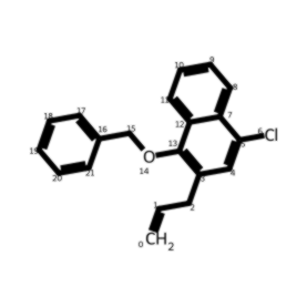 C=CCc1cc(Cl)c2ccccc2c1OCc1ccccc1